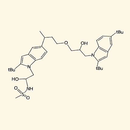 CC(CCOCC(O)Cn1c(C(C)(C)C)cc2cc(C(C)(C)C)ccc21)c1ccc2c(c1)cc(C(C)(C)C)n2CC(O)NS(C)(=O)=O